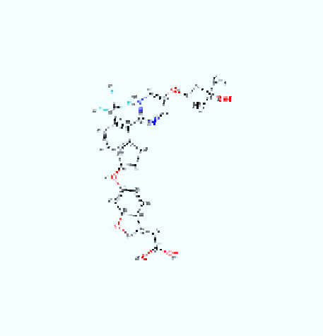 CC(C)(O)CCOc1cnc(-c2c(C(F)(F)F)ccc3c2CC[C@H]3Oc2ccc3c(c2)OCC3CC(=O)O)nc1